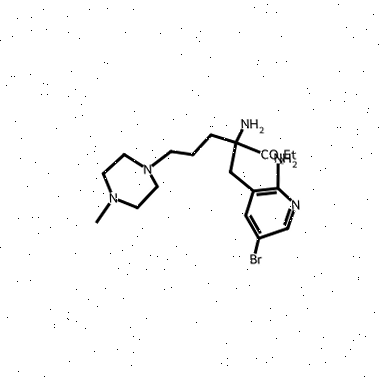 CCOC(=O)C(N)(CCCN1CCN(C)CC1)Cc1cc(Br)cnc1N